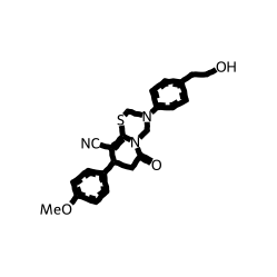 COc1ccc(C2CC(=O)N3CN(c4ccc(CCO)cc4)CSC3=C2C#N)cc1